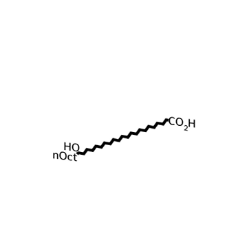 CCCCCCCCC(O)CCCCCCCCCCCCCCCCCCCCC(=O)O